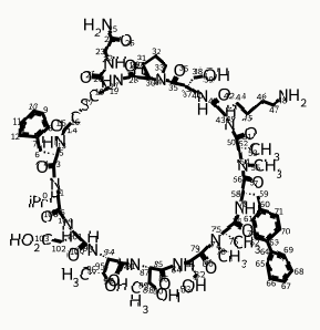 CC(C)[C@@H]1NC(=O)[C@H](Cc2ccccc2)NC(=O)CSC[C@@H](C(=O)NCC(N)=O)NC(=O)[C@@H]2CCCN2C(=O)[C@H](CO)NC(=O)[C@H](CCCCN)NC(=O)[C@H](C)N(C)C(=O)[C@H](Cc2ccc(-c3ccccc3)cc2)NC(=O)[C@H](C)N(C)C(=O)[C@H](CO)NC(=O)[C@H]([C@@H](C)O)NC(=O)[C@H]([C@@H](C)O)NC(=O)[C@H](CC(=O)O)NC1=O